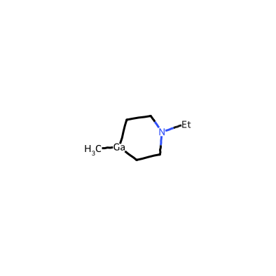 CCN1C[CH2][Ga]([CH3])[CH2]C1